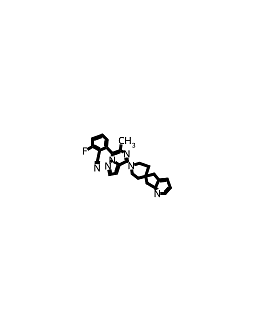 Cc1nc(N2CCC3(CC2)Cc2cccnc2C3)c2ccnn2c1-c1cccc(F)c1C#N